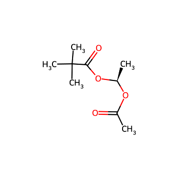 CC(=O)O[C@H](C)OC(=O)C(C)(C)C